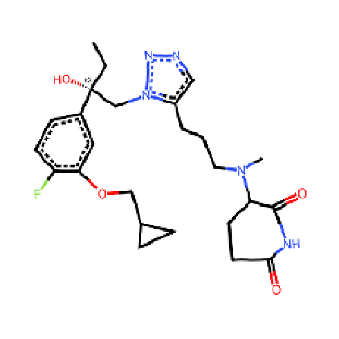 CC[C@@](O)(Cn1nncc1CCCN(C)C1CCC(=O)NC1=O)c1ccc(F)c(OCC2CC2)c1